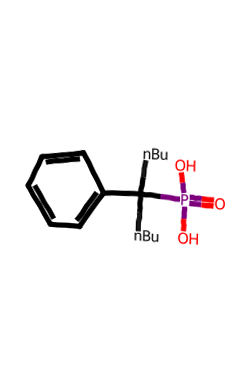 CCCCC(CCCC)(c1ccccc1)P(=O)(O)O